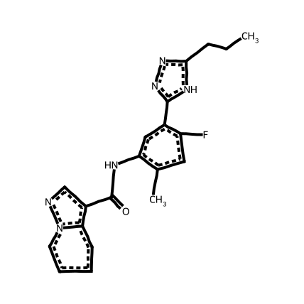 CCCc1nnc(-c2cc(NC(=O)c3cnn4ccccc34)c(C)cc2F)[nH]1